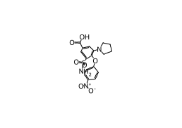 NS(=O)(=O)c1cc(C(=O)O)cc(N2CCCC2)c1Oc1ccc([N+](=O)[O-])cc1